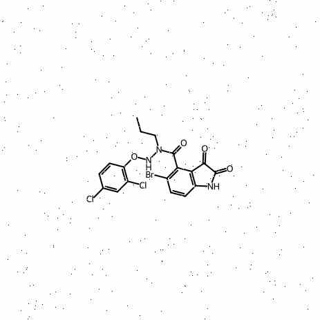 CCCN(NOc1ccc(Cl)cc1Cl)C(=O)c1c(Br)ccc2c1C(=O)C(=O)N2